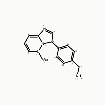 CCCCN1C=CC=C2N=CC(c3ccc(CN)cc3)N21